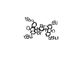 CC(C)(C)c1ccc2c(c1)c(=O)c1cc(C(C)(C)C)cc(Br)c1n2-c1ccc(-n2c3ccc(C(C)(C)C)cc3c(=O)c3cc(C(C)(C)C)cc(Br)c32)cc1